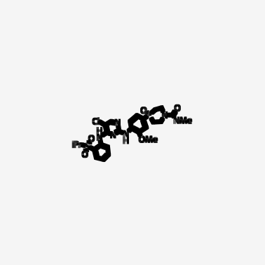 CNC(=O)N1CCP(=O)(c2ccc(Nc3ncc(Cl)c(Nc4ccccc4S(=O)(=O)C(C)C)n3)c(OC)c2)CC1